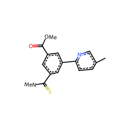 CNC(=S)c1cc(C(=O)OC)cc(-c2ccc(C)cn2)c1